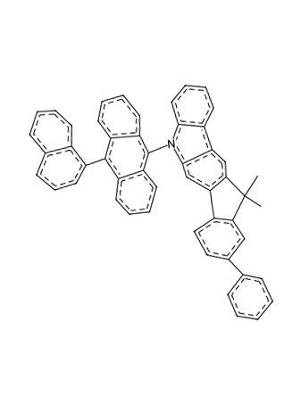 CC1(C)c2cc(-c3ccccc3)ccc2-c2cc3c(cc21)c1ccccc1n3-c1c2ccccc2c(-c2cccc3ccccc23)c2ccccc12